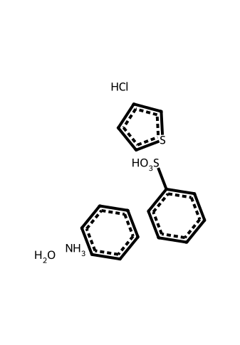 Cl.N.O.O=S(=O)(O)c1ccccc1.c1ccccc1.c1ccsc1